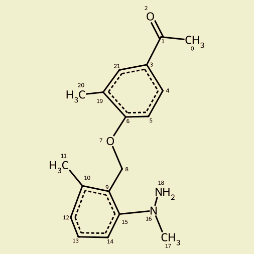 CC(=O)c1ccc(OCc2c(C)cccc2N(C)N)c(C)c1